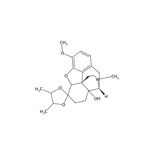 COc1ccc2c3c1OC1C4(CCC5(O)[C@@H](C2)N(C)CC[C@]315)OC(C)C(C)O4